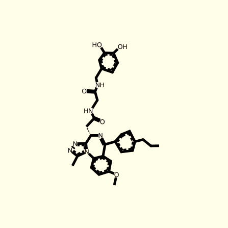 CCCc1ccc(C2=N[C@@H](CC(=O)NCC(=O)NCc3ccc(O)c(O)c3)c3nnc(C)n3-c3ccc(OC)cc32)cc1